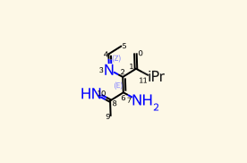 C=C(C(/N=C\C)=C(\N)C(C)=N)C(C)C